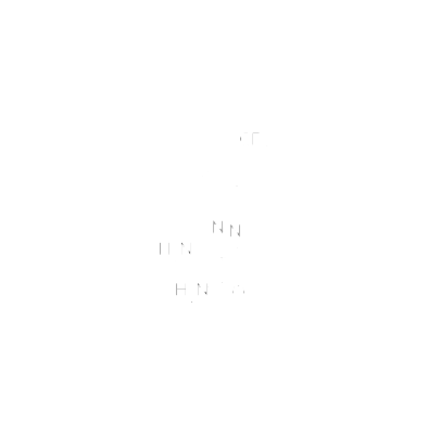 Cc1nn(C(C)c2ccc(C(F)(F)F)cc2)c(N)c1C(N)=O